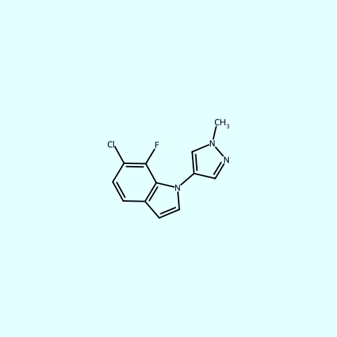 Cn1cc(-n2ccc3ccc(Cl)c(F)c32)cn1